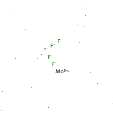 [F-].[F-].[F-].[F-].[F-].[Mo+5]